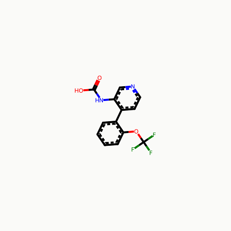 O=C(O)Nc1cnccc1-c1ccccc1OC(F)(F)F